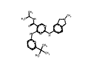 CC(C)NC(=O)c1cnc(Nc2ccc3c(c2)CN(C)C3)nc1Nc1cccc(C(C)(C)C)n1